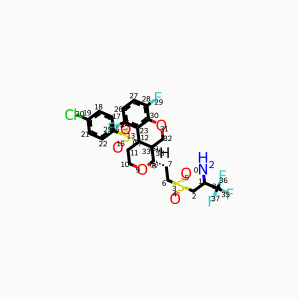 NC(CS(=O)(=O)CC[C@@H]1OCC[C@@]2(S(=O)(=O)c3ccc(Cl)cc3)c3c(F)ccc(F)c3OC[C@@H]12)C(F)(F)F